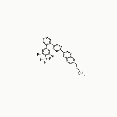 C=CCCc1ccc2cc(-c3ccc(-c4ccccc4-c4cc(F)c(C(F)(F)F)c(F)c4)cc3)ccc2c1